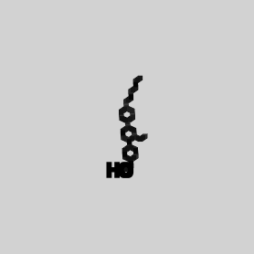 CCCCCCC1CCC(C2CCC(C3CCC(CO)CC3)C(CC)C2)CC1